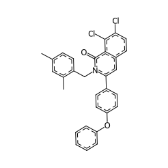 Cc1ccc(Cn2c(-c3ccc(Oc4ccccc4)cc3)cc3ccc(Cl)c(Cl)c3c2=O)c(C)c1